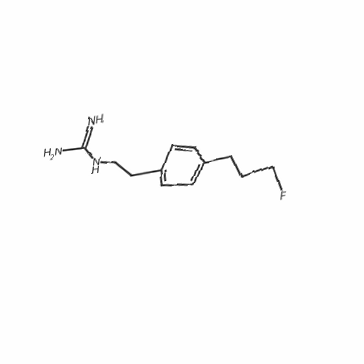 N=C(N)NCCc1ccc(CCCF)cc1